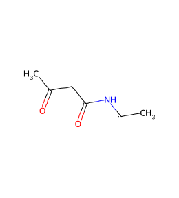 C[CH]NC(=O)CC(C)=O